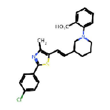 Cc1nc(-c2ccc(Cl)cc2)sc1C=CC1CCCN(c2ccccc2C(=O)O)C1